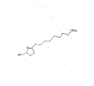 CCCCCCCCCCCCCCCCCC1=NC(C(C)C)CO1